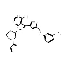 C=CC(=O)N1CCCC(n2nc(-c3csc(COc4cccc(C#N)c4)c3)c3c(N)ncnc32)C1